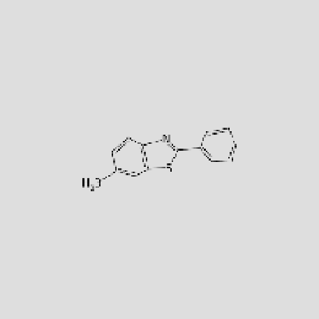 Bc1ccc2nc(-c3ccccc3)sc2c1